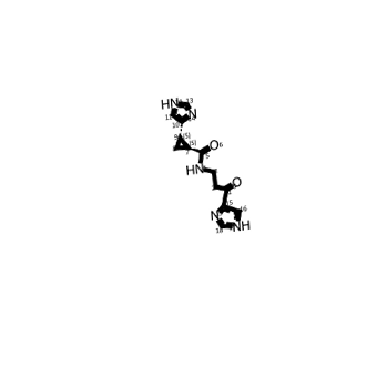 O=C(CCNC(=O)[C@H]1C[C@@H]1c1c[nH]cn1)c1c[nH]cn1